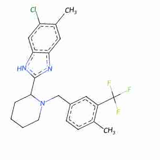 Cc1cc2nc(C3CCCCN3Cc3ccc(C)c(C(F)(F)F)c3)[nH]c2cc1Cl